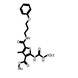 CCCCCCCCNC(=O)Nc1sc(C(=O)NCCCOc2ccccc2)c(C)c1C(=O)OC(C)(C)C